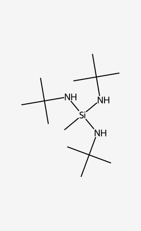 CC(C)(C)N[Si](C)(NC(C)(C)C)NC(C)(C)C